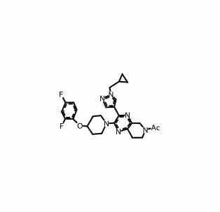 CC(=O)N1CCc2nc(N3CCC(Oc4ccc(F)cc4F)CC3)c(-c3cnn(CC4CC4)c3)nc2C1